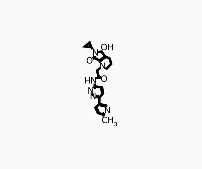 Cc1ccc(-c2ccc(NC(=O)CN3CCCC4=C3C(=O)N(C3CC3)C4O)nn2)cn1